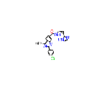 CCCc1nc(-c2ccc(Cl)cc2)nc2cc(C(=O)NCC3CC3c3ncc[nH]3)ccc12